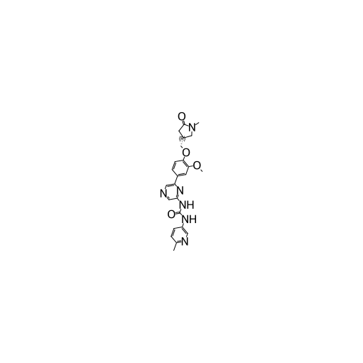 COc1cc(-c2cncc(NC(=O)Nc3ccc(C)nc3)n2)ccc1OC[C@@H]1CC(=O)N(C)C1